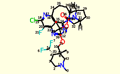 CN1CC[C@H](C(F)F)[C@](C)(COc2nc3c4c(nc(Cl)c(F)c4n2)CCC[C@@H]2[C@@H]4CC[C@H](CN32)N4C(=O)OC(C)(C)C)C1